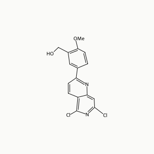 COc1ccc(-c2ccc3c(Cl)nc(Cl)cc3n2)cc1CO